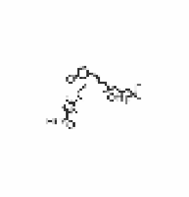 C[C@@](O)(C/C=C/C1CCC(=O)[C@@H]1CCSc1nc(C(=O)O)cs1)CCCC(F)(F)F